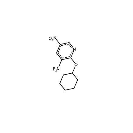 O=[N+]([O-])c1cnc(OC2CCCCC2)c(C(F)(F)F)c1